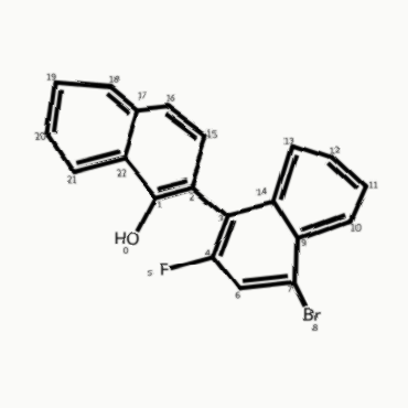 Oc1c(-c2c(F)cc(Br)c3ccccc23)ccc2ccccc12